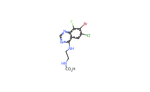 O=C(O)NCCNc1ncnc2c(F)c(Br)c(Cl)cc12